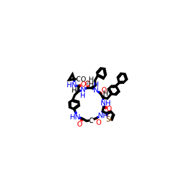 O=C1CCC(=O)NC(c2cccs2)C(=O)N[C@@H](Cc2ccc(-c3ccccc3)cc2)C(=O)N[C@H](CCc2ccccc2)C(=O)N[C@H](C(=O)NC2(C(=O)O)CC2)Cc2ccc(cc2)N1